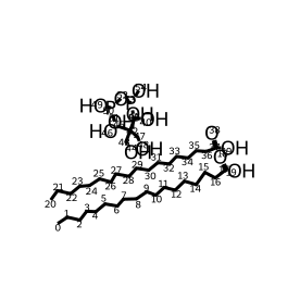 CCCCCCCCCCCCCCCCCC(=O)O.CCCCCCCCCCCCCCCCCC(=O)O.OCC(CO)(CO)CO.OP(O)OP(O)O